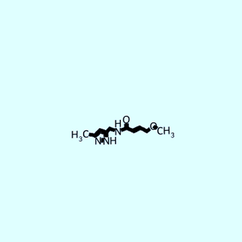 COC/C=C/C(=O)NCc1cc(C)n[nH]1